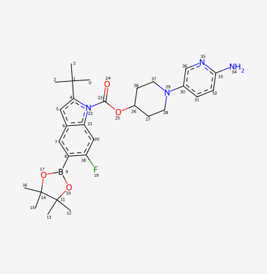 CC(C)(C)c1cc2cc(B3OC(C)(C)C(C)(C)O3)c(F)cc2n1C(=O)OC1CCN(c2ccc(N)nc2)CC1